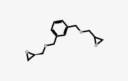 c1cc(COCC2CO2)cc(COC[C@H]2CO2)c1